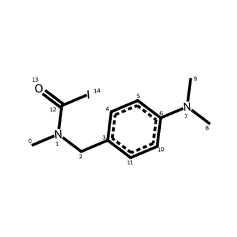 CN(Cc1ccc(N(C)C)cc1)C(=O)I